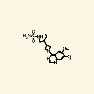 CCC(CNS(N)(=O)=O)C1CN(c2ncnc3cc(OC)c(OC)cc23)C1